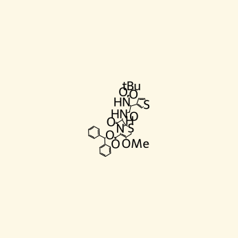 COC1=C(C(=O)OC(c2ccccc2)c2ccccc2)N2C(=O)[C@@H](NC(=O)C(NC(=O)OC(C)(C)C)c3ccsc3)[C@@H]2SC1